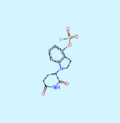 O=C1CCC(N2CCc3c(OS(=O)(=O)F)cccc32)C(=O)N1